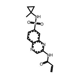 C=CC(=O)Nc1cnc2ccc(S(=O)(=O)NC3(C)CC3)cc2n1